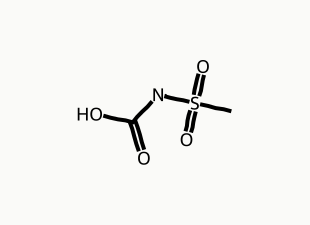 CS(=O)(=O)[N]C(=O)O